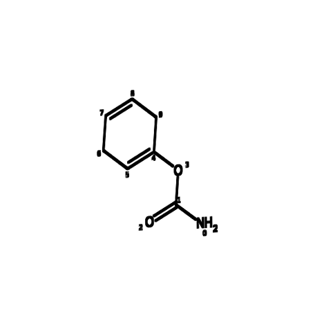 NC(=O)OC1=CCC=CC1